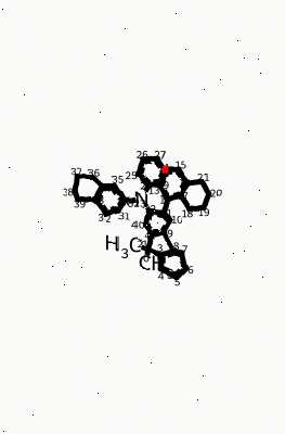 CC1(C)c2ccccc2-c2cc(-c3cccc4c3CCCC4)c(N(c3ccccc3)c3ccc4c(c3)CCCC4)cc21